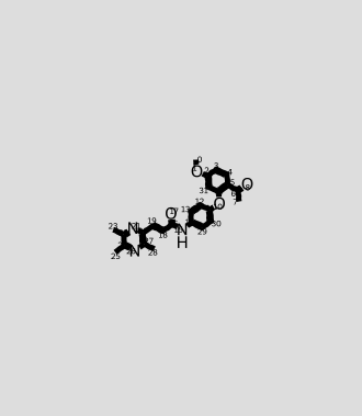 COc1ccc(C(C)=O)c(Oc2ccc(NC(=O)/C=C/c3nc(C)c(C)nc3C)cc2)c1